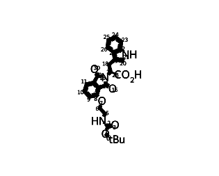 CC(C)(C)OC(=O)NCCOc1cccc2c1C(=O)N([C@@H](Cc1c[nH]c3ccccc13)C(=O)O)C2=O